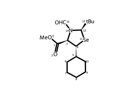 COC(=O)[C@@H]1[C@@H](C2CCCCC2)[Se][C@H](C(C)(C)C)N1C=O